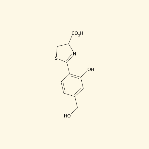 O=C(O)C1CSC(c2ccc(CO)cc2O)=N1